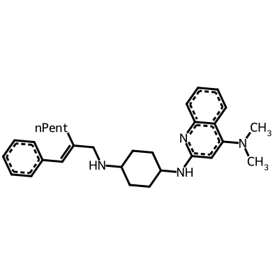 CCCCCC(=Cc1ccccc1)CNC1CCC(Nc2cc(N(C)C)c3ccccc3n2)CC1